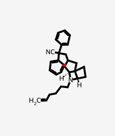 C=CCCCCN1[C@H]2CCC23CC(CC(C#N)(c2ccccc2)c2ccccc2)C[C@H]13